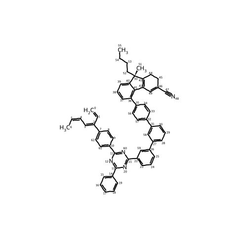 C=C/C(=C\C=C/C)c1ccc(-c2nc(-c3ccccc3)nc(-c3cccc(-c4cccc(-c5ccc(-c6cccc7c6C6=C(CCC(C#N)=C6)[C@@]7(C)CCCC)cc5)c4)c3)n2)cc1